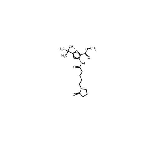 COC(=O)c1sc(C(C)(C)C)cc1NC(=O)CCCCN1CCCC1=O